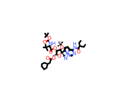 CCC(CC)C(=O)Nc1ncnn2c([C@]3(C#N)O[C@H](COC(=O)CC4CCCCC4)[C@@H](OC(=O)[C@H](NC(=O)OC(C)(C)C)C(C)(C)C)[C@H]3O[Si](C)(C)C)ccc12